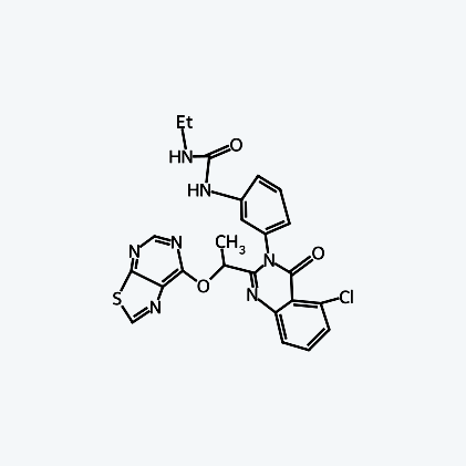 CCNC(=O)Nc1cccc(-n2c(C(C)Oc3ncnc4scnc34)nc3cccc(Cl)c3c2=O)c1